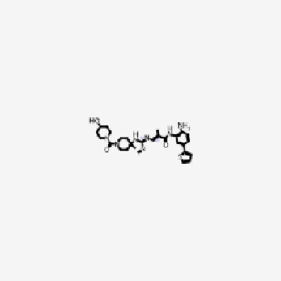 C=N/C(=N\C=C(/C)C(=O)Nc1cc(-c2cccs2)ccc1N)NC1(C)CCN(C(=O)N2CCC(O)CC2)CC1